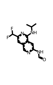 CC(C)Nc1nc(C(F)F)cc2cnc(NC=O)cc12